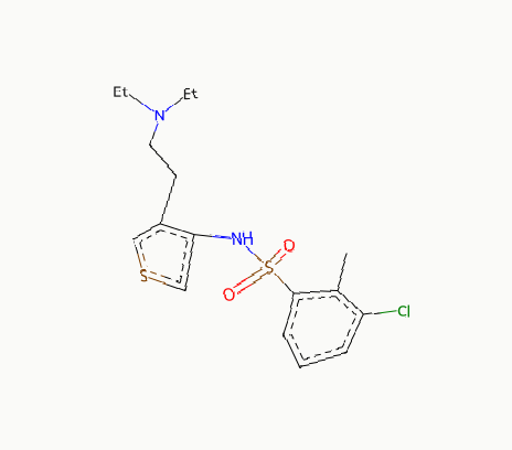 CCN(CC)CCc1cscc1NS(=O)(=O)c1cccc(Cl)c1C